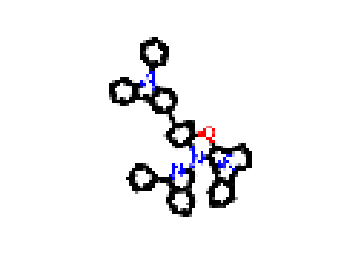 c1ccc(-c2nc(N3c4ccc(-c5ccc6c(c5)c5ccccc5n6-c5ccccc5)cc4Oc4c3c3c5ccccc5c5cccc4n53)cc3ccccc23)cc1